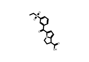 CCS(=O)(=O)c1cccc(C(=O)c2ccc3n2CCC3C(=O)O)c1